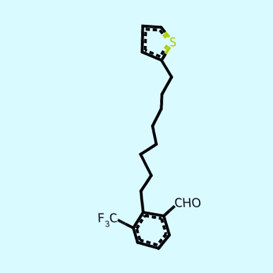 O=Cc1cccc(C(F)(F)F)c1CCCCCCCCc1cccs1